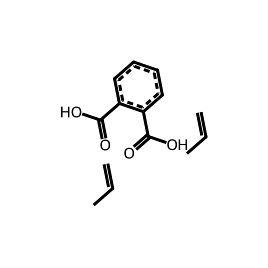 C=CC.C=CC.O=C(O)c1ccccc1C(=O)O